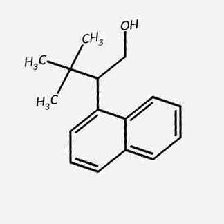 CC(C)(C)C(CO)c1cccc2ccccc12